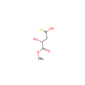 CCCCOC(=O)C(O)CC(O)=S